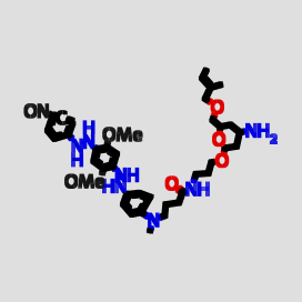 C/C=C(\C)COCC1CC(N)CC(OCCCNC(=O)CCCN(C)c2ccc(NNc3cc(OC)c(NNc4ccc(N=O)cc4)cc3OC)cc2)O1